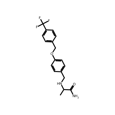 CC(NCc1ccc(OCc2ccc(C(F)(F)F)cc2)cc1)C(N)=O